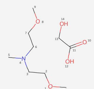 COCCN(C)CCOC.O=C(O)CO